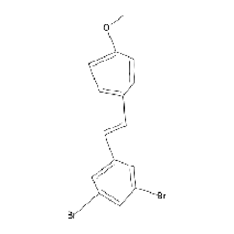 COc1ccc(C=Cc2cc(Br)cc(Br)c2)cc1